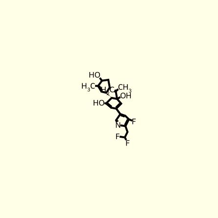 C=C(C)C1(O)C=C(c2cnc(CC(F)F)c(F)c2)C=C(O)[C@@H]1C1C=C(C)C(O)CC1